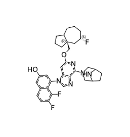 Oc1cc(-n2cnc3c(N4CC5CCC(C4)N5)nc(OC[C@@]45CCCC4CCC[C@H](F)C5)cc32)c2c(F)c(F)ccc2c1